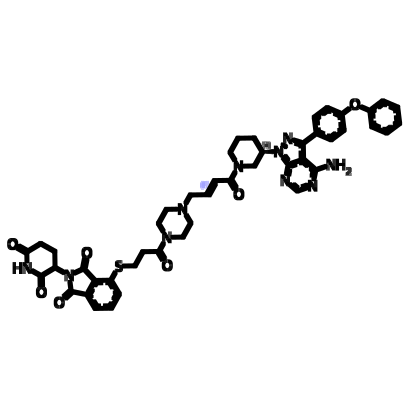 Nc1ncnc2c1c(-c1ccc(Oc3ccccc3)cc1)nn2[C@@H]1CCCN(C(=O)/C=C/CN2CCN(C(=O)CCSc3cccc4c3C(=O)N(C3CCC(=O)NC3=O)C4=O)CC2)C1